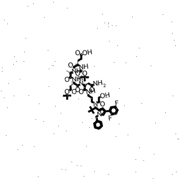 C[C@H](NC(=O)[C@H](CCC(=O)O)NC(=O)OC(C)(C)C)C(=O)N[C@@H](CC(=O)OC(C)(C)C)C(=O)N[C@@H](CC(N)=O)C(=O)NCCCN(C(=O)CO)[C@@H](c1cc(-c2cc(F)ccc2F)cn1Cc1ccccc1)C(C)(C)C